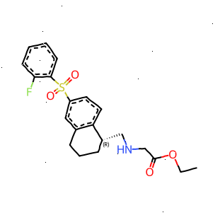 CCOC(=O)CNC[C@@H]1CCCc2cc(S(=O)(=O)c3ccccc3F)ccc21